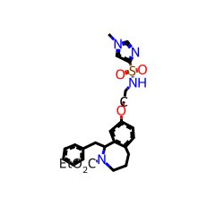 CCOC(=O)N1CCCc2ccc(OCCNS(=O)(=O)c3cn(C)cn3)cc2C1Cc1ccccc1